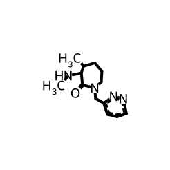 CNC1C(=O)N(Cc2cccnn2)CCCC1C